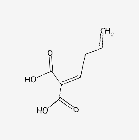 C=CCC=C(C(=O)O)C(=O)O